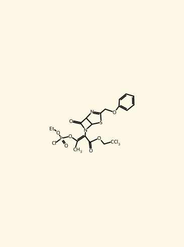 CCOP(=O)(Cl)OC(C)=C(C(=O)OCC(Cl)(Cl)Cl)N1C(=O)C2N=C(COc3ccccc3)SC21